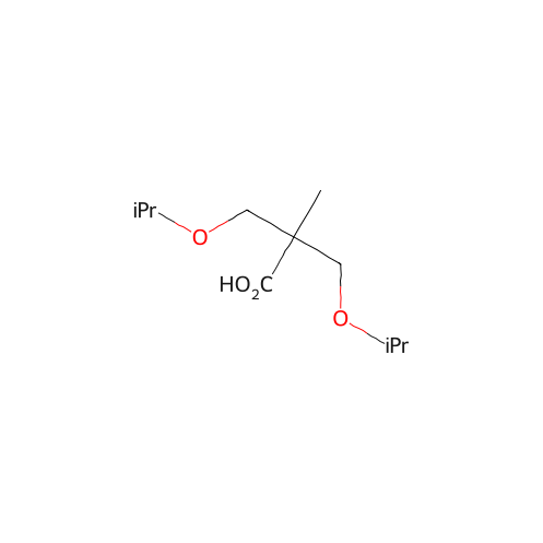 CC(C)OCC(C)(COC(C)C)C(=O)O